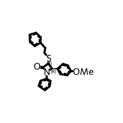 COc1ccc([C@@H]2[C@@H](SCCc3ccccc3)C(=O)N2c2ccccc2)cc1